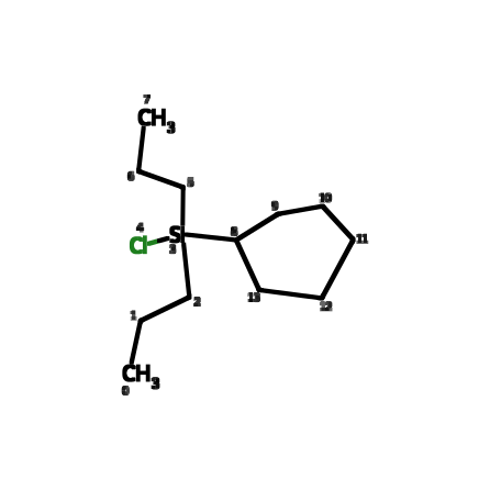 CCC[Si](Cl)(CCC)C1CCCCC1